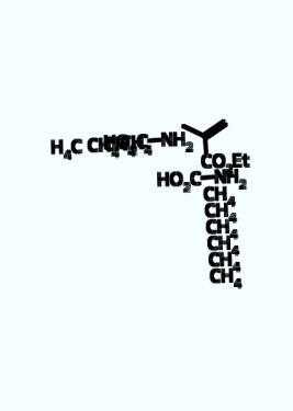 C.C.C.C.C.C.C.C.C.C.C=C(C)C(=O)OCC.NC(=O)O.NC(=O)O